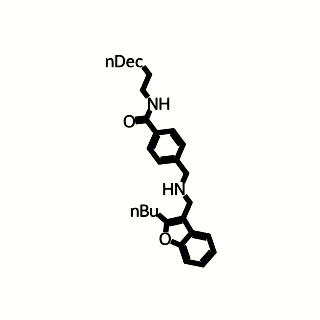 CCCCCCCCCCCCNC(=O)c1ccc(CNCc2c(CCCC)oc3ccccc23)cc1